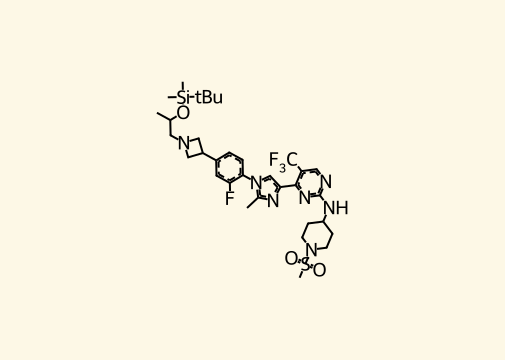 Cc1nc(-c2nc(NC3CCN(S(C)(=O)=O)CC3)ncc2C(F)(F)F)cn1-c1ccc(C2CN(CC(C)O[Si](C)(C)C(C)(C)C)C2)cc1F